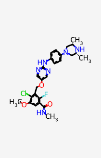 CNC(=O)c1cc(OC)c(Cl)c(COc2cnc(Nc3ccc(N4C[C@@H](C)N[C@@H](C)C4)cc3)nc2)c1F